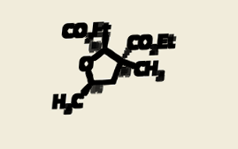 CCOC(=O)[C@@H]1O[C@H](C)C[C@@]1(C)C(=O)OCC